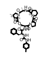 Cc1ccc(NC(=O)N[C@@H](Cc2ccccc2)C(=O)N[C@@H]2C(=O)N3CCC[C@H]3C(=O)N3CCCC[C@H]3C(=O)N[C@@H](C)C(=O)N3C[C@@H](C)C[C@H]3C(=O)O[C@H]2C)cc1